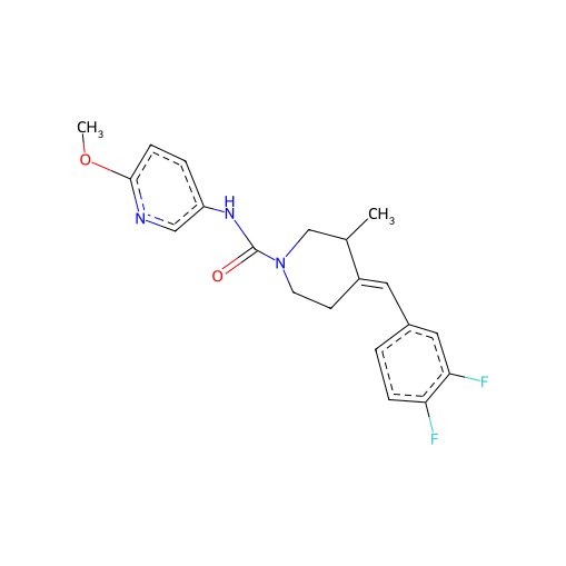 COc1ccc(NC(=O)N2CCC(=Cc3ccc(F)c(F)c3)C(C)C2)cn1